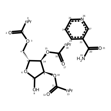 CCCC(=O)OC[C@H]1OC(O)[C@H](OC(=O)CCC)[C@@H]1OC(=O)CCC.NC(=O)c1cccnc1